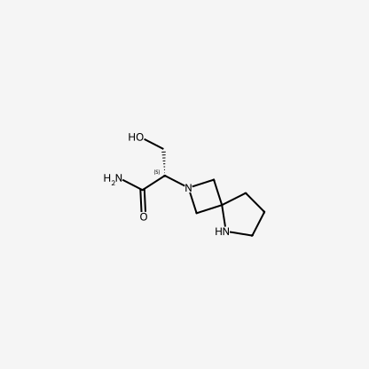 NC(=O)[C@H](CO)N1CC2(CCCN2)C1